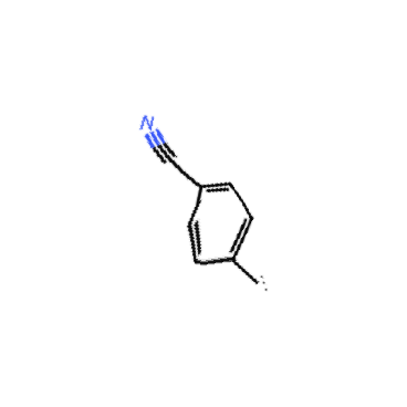 [C]c1ccc(C#N)cc1